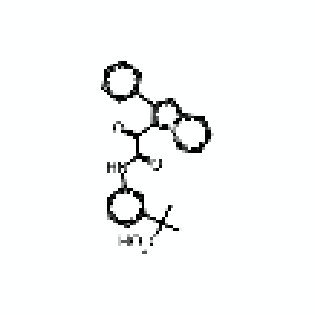 CC(C)(C(=O)O)c1cccc(NC(=O)C(=O)c2c(-c3ccccc3)cc3ccccn23)c1